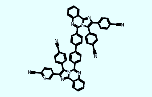 N#Cc1ccc(-c2nc3c4ccccc4nc(-c4ccc(-c5ccc(-c6nc7ccccc7c7nc(-c8ccc(C#N)nc8)c(-c8ccc(C#N)cc8)n67)cc5)cc4)n3c2-c2ccc(C#N)cc2)cc1